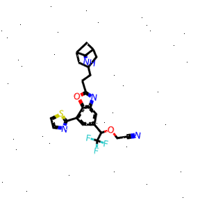 N#CCOC(c1cc(-c2nccs2)c2oc(CCC3CC4CC(C3)C4=N)nc2c1)C(F)(F)F